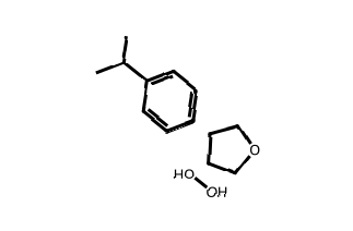 C1CCOC1.CC(C)c1ccccc1.OO